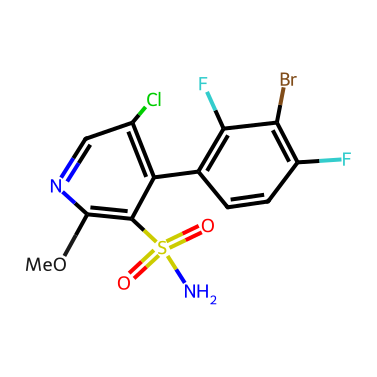 COc1ncc(Cl)c(-c2ccc(F)c(Br)c2F)c1S(N)(=O)=O